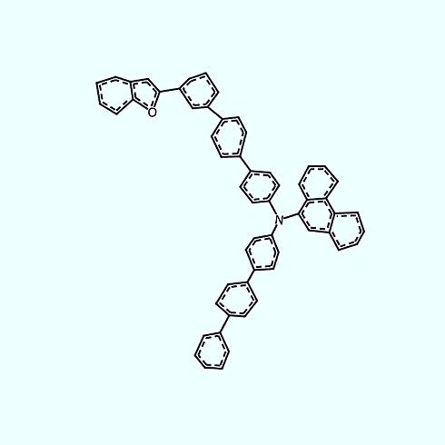 c1ccc(-c2ccc(-c3ccc(N(c4ccc(-c5ccc(-c6cccc(-c7cc8ccccc8o7)c6)cc5)cc4)c4cc5ccccc5c5ccccc45)cc3)cc2)cc1